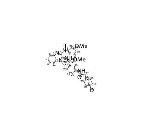 COc1cc(Nc2nc3ccccc3nc2NS(=O)(=O)c2cccc(NC(=O)CN3CCC(=O)CC3)c2)cc(OC)c1